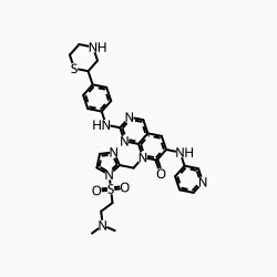 CN(C)CCS(=O)(=O)n1ccnc1Cn1c(=O)c(Nc2cccnc2)cc2cnc(Nc3ccc(C4CNCCS4)cc3)nc21